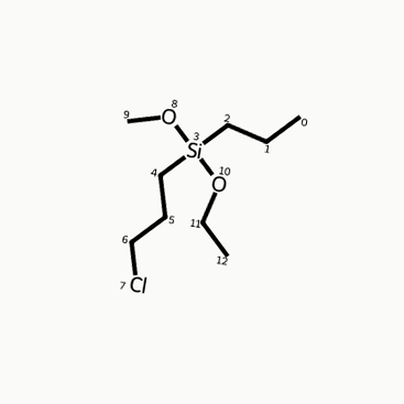 CCC[Si](CCCCl)(OC)OCC